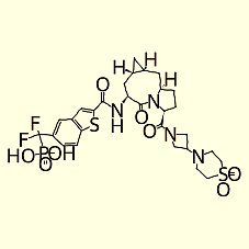 O=C(N[C@H]1C[C@@H]2C[C@@H]2C[C@H]2CC[C@@H](C(=O)N3CC(N4CCS(=O)(=O)CC4)C3)N2C1=O)c1cc2cc(C(F)(F)P(=O)(O)O)ccc2s1